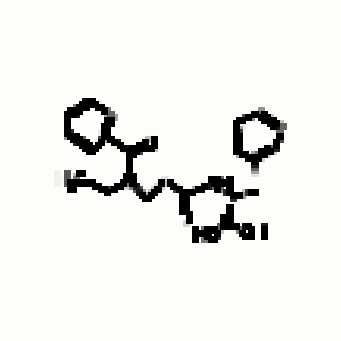 CCN(CCC(=O)NC(Cc1ccccc1)B(O)O)C(=O)c1ccccc1